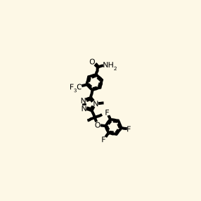 Cn1c(-c2ccc(C(N)=O)cc2C(F)(F)F)nnc1C(C)(C)Oc1c(F)cc(F)cc1F